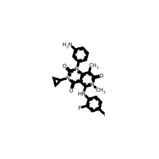 Cc1c(=O)n(C)c(Nc2ccc(I)cc2F)c2c(=O)n(C3CC3)c(=O)n(-c3cccc(N)c3)c12